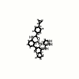 O=C(Nc1cccc(-c2cc(NC3C=CNN3)c3nccn3n2)c1CO)c1ccc(C2CC2)cc1